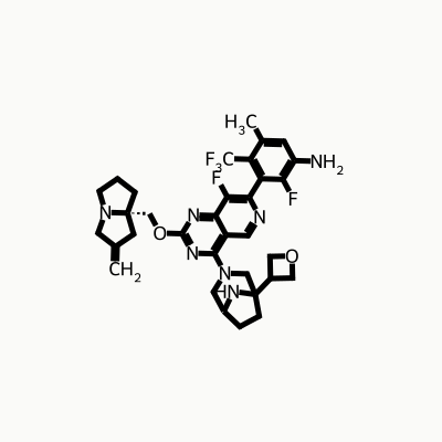 C=C1CN2CCC[C@@]2(COc2nc(N3CC4CCC(C5COC5)(C3)N4)c3cnc(-c4c(F)c(N)cc(C)c4C(F)(F)F)c(F)c3n2)C1